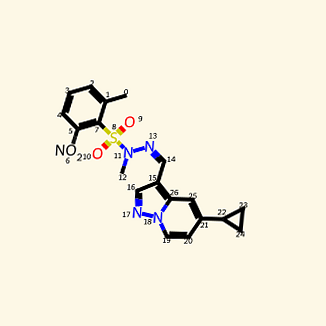 Cc1cccc([N+](=O)[O-])c1S(=O)(=O)N(C)/N=C\c1cnn2ccc(C3CC3)cc12